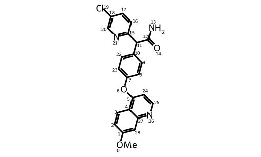 COc1ccc2c(Oc3ccc(C(C(N)=O)c4ccc(Cl)cn4)cc3)ccnc2c1